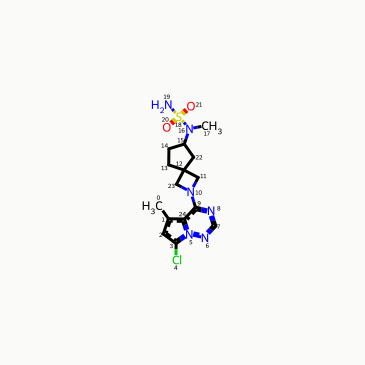 Cc1cc(Cl)n2ncnc(N3CC4(CCC(N(C)S(N)(=O)=O)C4)C3)c12